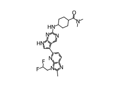 Cc1nc2ccc(-c3c[nH]c4nc(NC5CCC(C(=O)N(C)C)CC5)ncc34)nc2n1CC(F)F